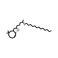 CCCCCCCCCCCCCSC(C)CCCC(=O)CC1CC(C)(C)CCC/C=C\[C@H]1C